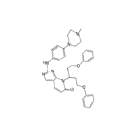 CN1CCN(c2ccc(Nc3ncc4ccc(=O)n(C(CCOc5ccccc5)CCOc5ccccc5)c4n3)cc2)CC1